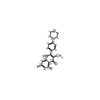 Cc1c(-c2ccc(N3CCOCC3)cc2)[nH]c2cc(F)cc(F)c2c1=O